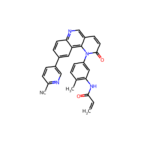 C=CC(=O)Nc1cc(-n2c(=O)ccc3cnc4ccc(-c5ccc(C#N)nc5)cc4c32)ccc1C